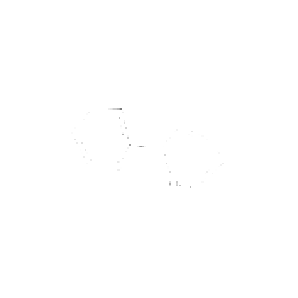 C1=COC(C2=CCC=CO2)C=C1